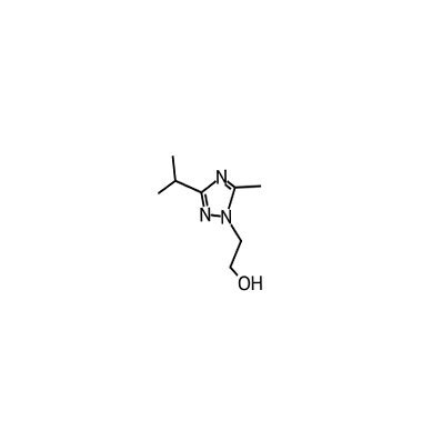 Cc1nc(C(C)C)nn1CCO